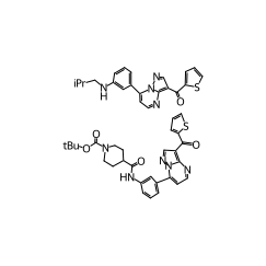 CC(C)(C)OC(=O)N1CCC(C(=O)Nc2cccc(-c3ccnc4c(C(=O)c5cccs5)cnn34)c2)CC1.CC(C)CNc1cccc(-c2ccnc3c(C(=O)c4cccs4)cnn23)c1